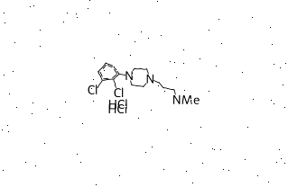 CNCCCN1CCN(c2cccc(Cl)c2Cl)CC1.Cl.Cl